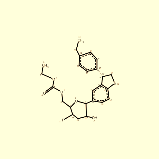 CCOC(=O)OCC1OC(c2ccc3c(c2)[C@H](c2ccc(CC)cc2)CS3)C(O)CC1F